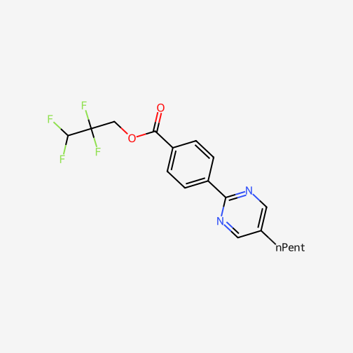 CCCCCc1cnc(-c2ccc(C(=O)OCC(F)(F)C(F)F)cc2)nc1